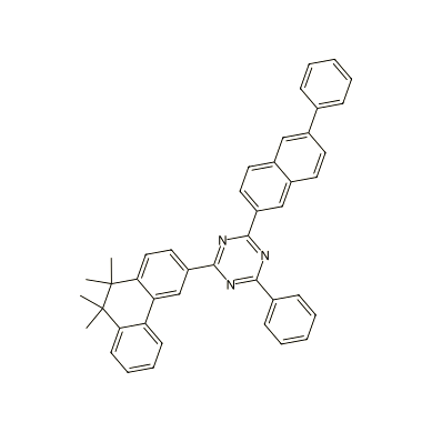 CC1(C)c2ccccc2-c2cc(-c3nc(-c4ccccc4)nc(-c4ccc5cc(-c6ccccc6)ccc5c4)n3)ccc2C1(C)C